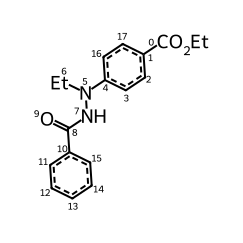 CCOC(=O)c1ccc(N(CC)NC(=O)c2ccccc2)cc1